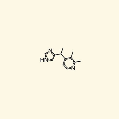 Cc1nccc(C(C)c2c[nH]cn2)c1C